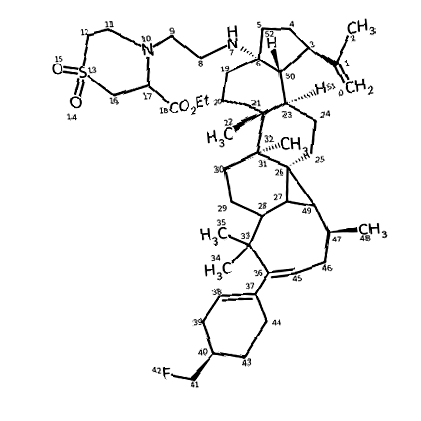 C=C(C)[C@@H]1CC[C@]2(NCCN3CCS(=O)(=O)CC3C(=O)OCC)CC[C@]3(C)[C@H](CC[C@]45C6C(CC[C@]43C)C(C)(C)/C(C3=CC[C@H](CF)CC3)=C\C[C@H](C)C65)[C@@H]12